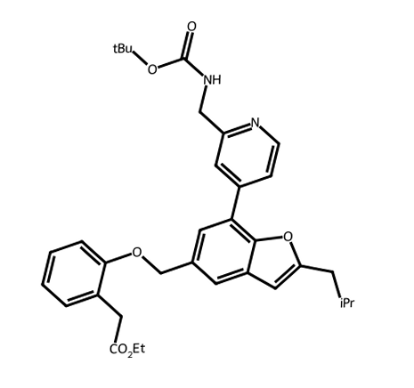 CCOC(=O)Cc1ccccc1OCc1cc(-c2ccnc(CNC(=O)OC(C)(C)C)c2)c2oc(CC(C)C)cc2c1